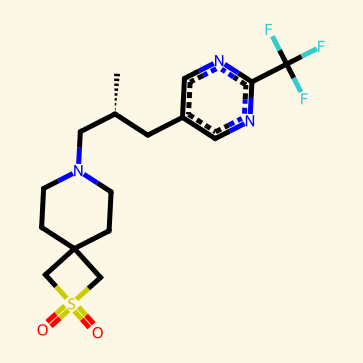 C[C@H](Cc1cnc(C(F)(F)F)nc1)CN1CCC2(CC1)CS(=O)(=O)C2